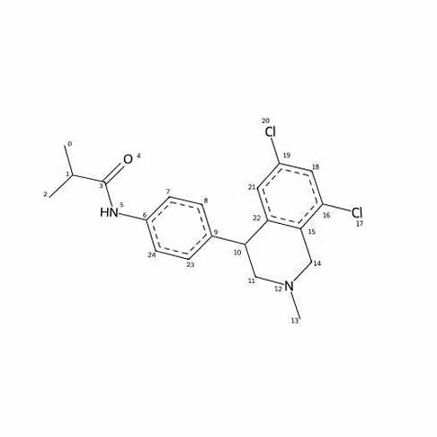 CC(C)C(=O)Nc1ccc(C2CN(C)Cc3c(Cl)cc(Cl)cc32)cc1